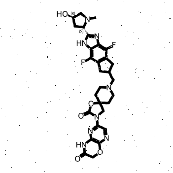 CN1C[C@H](O)C[C@H]1c1nc2c(F)c3c(c(F)c2[nH]1)CC(CN1CCC2(CC1)CN(c1cnc4c(n1)NC(=O)CO4)C(=O)O2)C3